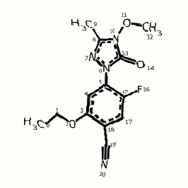 CCOc1cc(-n2nc(C)n(OC)c2=O)c(F)cc1C#N